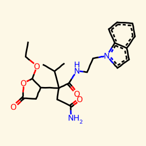 CCOC1OC(=O)CC1C(CC(N)=O)(C(=O)NCCn1ccc2ccccc21)C(C)C